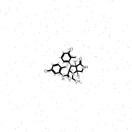 CCN1[C@H]2CNC(=O)[C@H]2[C@H](c2cccc(Cl)c2F)[C@@]12Cc1ccc(Cl)cc1NC2=O